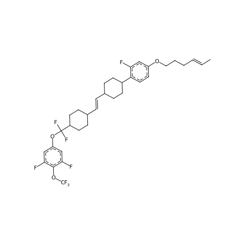 C/C=C/CCCOc1ccc(C2CCC(/C=C/C3CCC(C(F)(F)Oc4cc(F)c(OC(F)(F)F)c(F)c4)CC3)CC2)c(F)c1